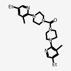 CCc1cnc(N2CCN(C(=O)N3CCN(c4ncc(CC)cc4C)CC3)CC2)c(C)c1